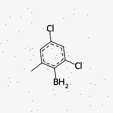 Bc1c(C)cc(Cl)cc1Cl